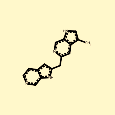 Cc1c[nH]c2cnc(Cc3cc4ccncc4[nH]3)cc12